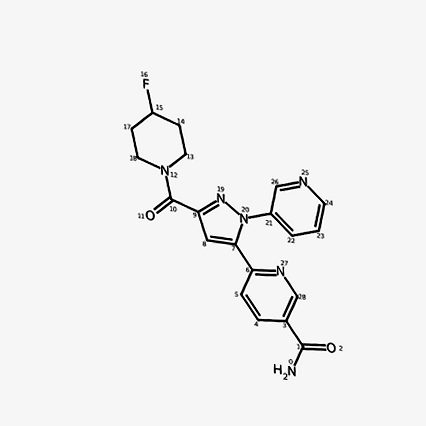 NC(=O)c1ccc(-c2cc(C(=O)N3CCC(F)CC3)nn2-c2cccnc2)nc1